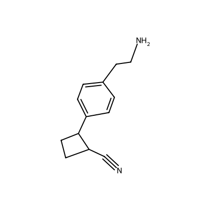 N#CC1CCC1c1ccc(CCN)cc1